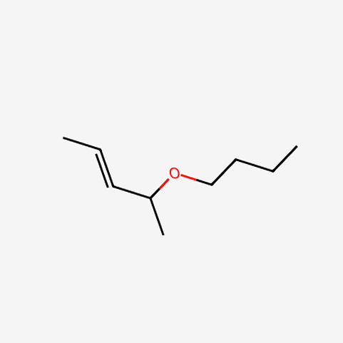 CC=CC(C)OCCCC